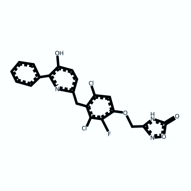 O=c1[nH]c(COc2cc(Cl)c(Cc3ccc(O)c(-c4ccccc4)n3)c(Cl)c2F)no1